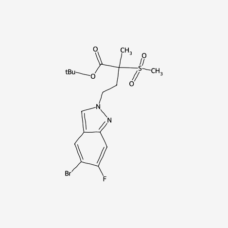 CC(C)(C)OC(=O)C(C)(CCn1cc2cc(Br)c(F)cc2n1)S(C)(=O)=O